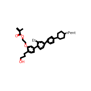 C=C(C)C(=O)OCCOc1cc(-c2ccc(-c3ccc(C4CCC(CCCCC)CC4)cc3)cc2CC)ccc1CCCO